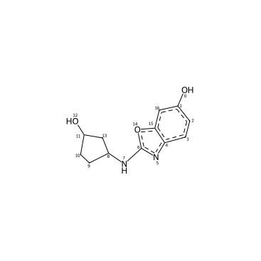 Oc1ccc2nc(NC3CCC(O)C3)oc2c1